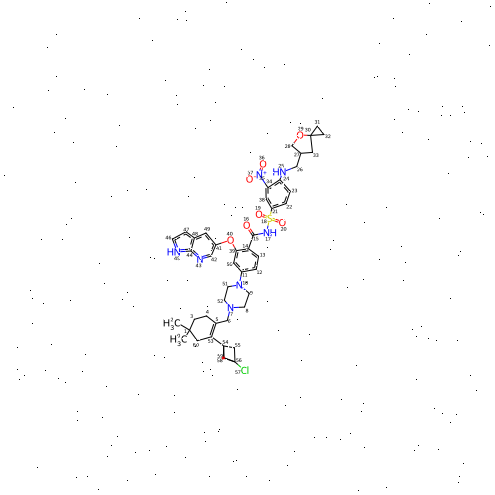 CC1(C)CCC(CN2CCN(c3ccc(C(=O)NS(=O)(=O)c4ccc(NCC5COC6(CC6)C5)c([N+](=O)[O-])c4)c(Oc4cnc5[nH]ccc5c4)c3)CC2)=C(C23CC(Cl)(C2)C3)C1